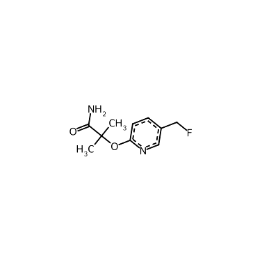 CC(C)(Oc1ccc(CF)cn1)C(N)=O